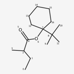 CCC(C)C(=O)OC1(C(C)(C)C)CCCCC1